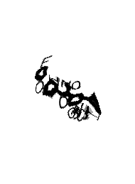 CNC(=O)c1c(-c2ccc(Oc3ccc(F)cc3)cc2)oc2cc(NS(C)(=O)=O)c(C3CC3)cc12